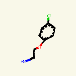 [NH]CCOc1ccc(Cl)cc1